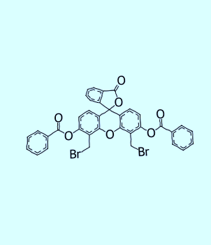 O=C(Oc1ccc2c(c1CBr)Oc1c(ccc(OC(=O)c3ccccc3)c1CBr)C21OC(=O)c2ccccc21)c1ccccc1